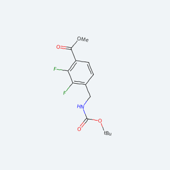 COC(=O)c1ccc(CNC(=O)OC(C)(C)C)c(F)c1F